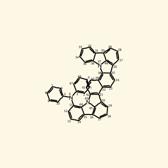 c1ccc(N(c2ccccc2)c2cccc3c4cccc5c6c7ccc8c9cccc%10c%11ccccc%11n(c8c7ccc6n(c23)c45)c%109)cc1